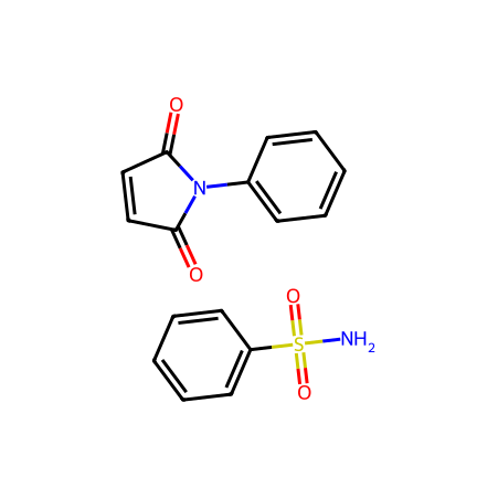 NS(=O)(=O)c1ccccc1.O=C1C=CC(=O)N1c1ccccc1